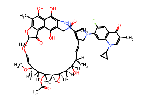 CO[C@H]1/C=C/O[C@@]2(C)Oc3c(C)c(O)c4c(O)c(c(CN[C@H]5CCN(c6cc7c(cc6F)c(=O)c(C)cn7C6CC6)C5)c(O)c4c3C2=O)NC(=O)/C(C)=C\C=C\[C@H](C)[C@H](O)[C@@H](C)[C@@H](O)[C@@H](C)[C@H](OC(C)=O)[C@@H]1C